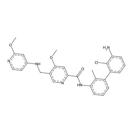 COc1cc(NCc2cnc(C(=O)Nc3cccc(-c4cccc(N)c4Cl)c3C)cc2OC)ccn1